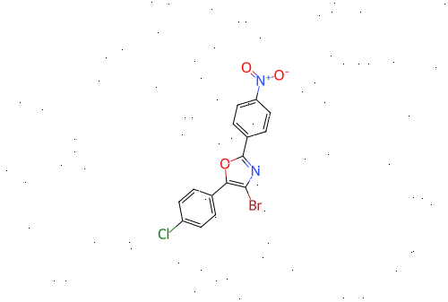 O=[N+]([O-])c1ccc(-c2nc(Br)c(-c3ccc(Cl)cc3)o2)cc1